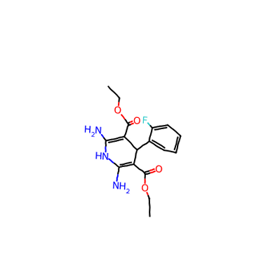 CCOC(=O)C1=C(N)NC(N)=C(C(=O)OCC)C1c1ccccc1F